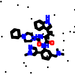 C[C@@H](c1c[nH]c2ccccc12)[C@@H](NC(=O)N1CCN(c2ccccc2)CC1)C(=O)Nc1cc(CN(C)C)ccc1-c1cnn(C)c1